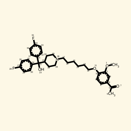 COc1cc(C(C)=O)ccc1OCCCCCCN1CCC(C(O)(c2ccc(F)cc2)c2ccc(F)cc2)CC1